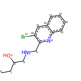 CCC(O)CNCc1nc2ccccc2cc1Br